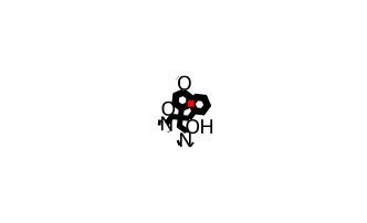 COc1ccc(C(CCN(C)C)(C(=O)N(C)C)C(O)c2ccccc2)cc1